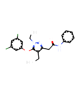 CCc1c(CC(=O)Nc2ccccc2)nn(CC)c1Oc1cc(Cl)cc(Cl)c1